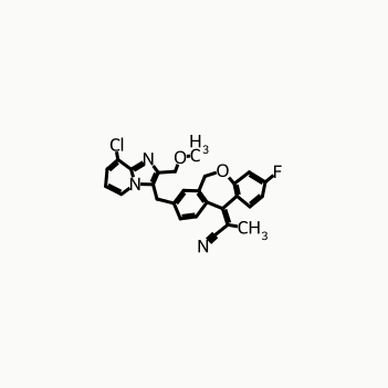 COCc1nc2c(Cl)cccn2c1Cc1ccc2c(c1)COc1cc(F)ccc1/C2=C(\C)C#N